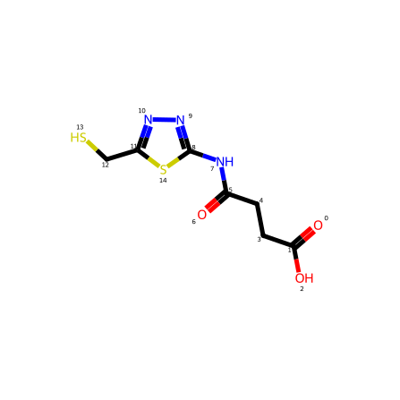 O=C(O)CCC(=O)Nc1nnc([CH]S)s1